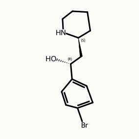 O[C@H](C[C@@H]1CCCCN1)c1ccc(Br)cc1